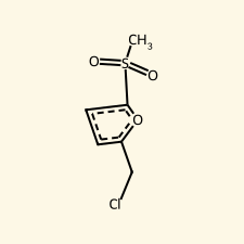 CS(=O)(=O)c1ccc(CCl)o1